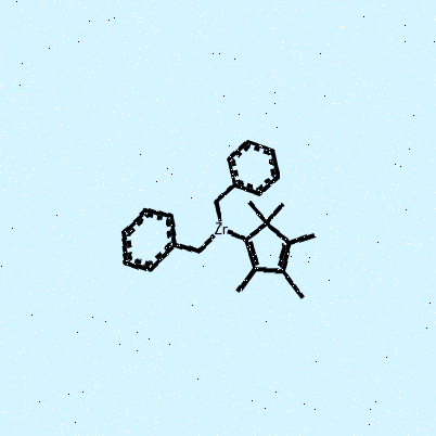 CC1=C(C)C(C)(C)[C]([Zr]([CH2]c2ccccc2)[CH2]c2ccccc2)=C1C